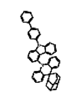 c1ccc(-c2ccc(-n3c4ccccc4c4c(N5c6ccccc6C6(c7ccccc75)C5CC7CC(C5)CC6C7)cccc43)cc2)cc1